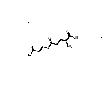 N[C@@H](CCC(=O)OCCC(=O)O)C(=O)O